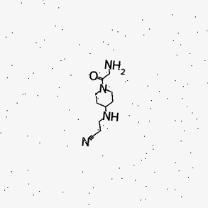 N#CCCNC1CCN(C(=O)CN)CC1